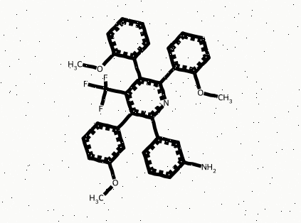 COc1cccc(-c2c(-c3cccc(N)c3)nc(-c3ccccc3OC)c(-c3ccccc3OC)c2C(F)(F)F)c1